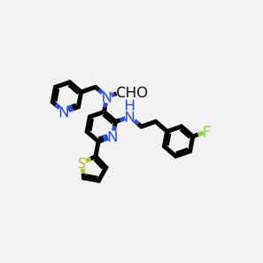 O=CN(Cc1cccnc1)c1ccc(-c2cccs2)nc1NCCc1cccc(F)c1